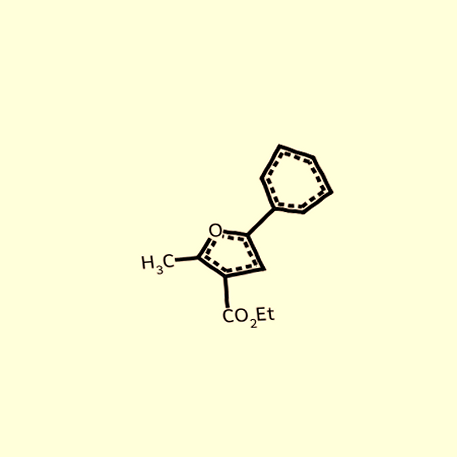 CCOC(=O)c1cc(-c2ccccc2)oc1C